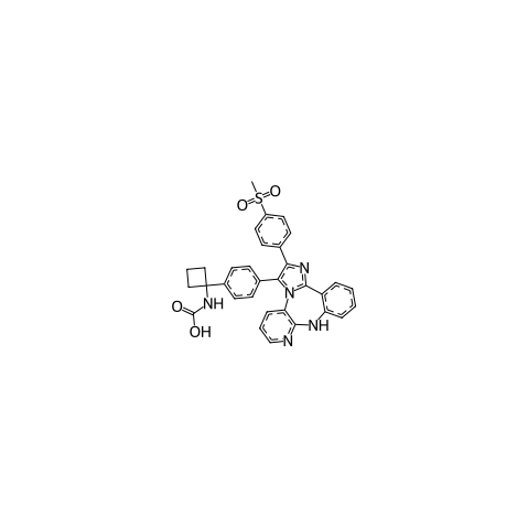 CS(=O)(=O)c1ccc(-c2nc3n(c2-c2ccc(C4(NC(=O)O)CCC4)cc2)-c2cccnc2Nc2ccccc2-3)cc1